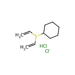 C=C[S+](C=C)C1CCCCC1.Cl.[Cl-]